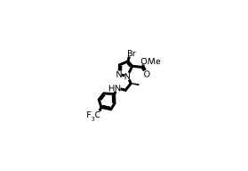 COC(=O)c1c(Br)cnn1[C@@H](C)CNc1ccc(C(F)(F)F)cc1